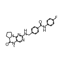 CN1C(=O)C2CCCN2c2nc(NCc3ccc(C(=O)Nc4ccc(F)cc4)cc3)ncc21